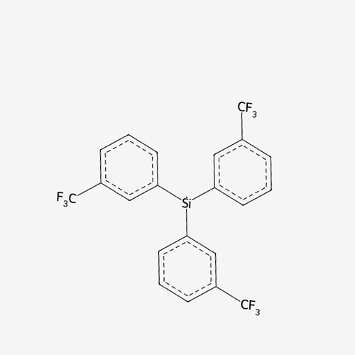 FC(F)(F)c1cccc([Si](c2cccc(C(F)(F)F)c2)c2cccc(C(F)(F)F)c2)c1